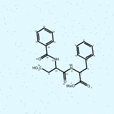 COC(=O)C(Cc1ccccc1)NC(=O)C(CC(=O)O)NC(=O)c1ccccc1